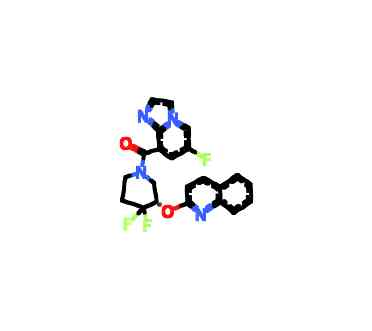 O=C(c1cc(F)cn2ccnc12)N1CCC(F)(F)[C@@H](Oc2ccc3ccccc3n2)C1